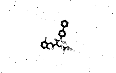 CNC(=O)NCC(C(=O)Cc1c(F)cccc1F)C(=O)N(C)c1ccc(-c2ccccc2)cc1